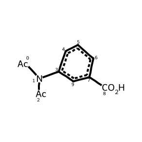 CC(=O)N(C(C)=O)c1cccc(C(=O)O)c1